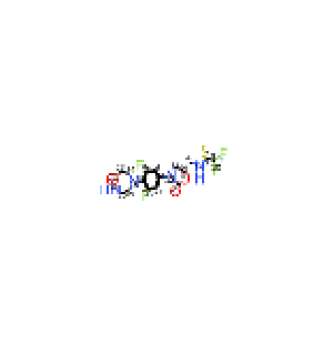 O=C1O[C@@H](CNC(=S)C(F)F)CN1c1cc(F)c(N2CCNOCC2)c(F)c1